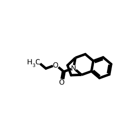 CCOC(=O)N1C2CCC1c1ccccc1C2